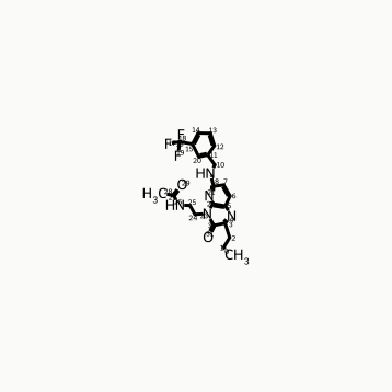 CCCc1nc2ccc(NCc3cccc(C(F)(F)F)c3)nc2n(CCNC(C)=O)c1=O